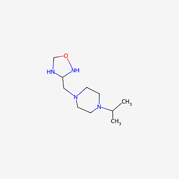 CC(C)N1CCN(CC2NCON2)CC1